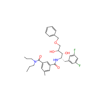 CCCN(CCC)C(=O)c1cc(C)cc(C(=O)N[C@@H](Cc2cc(F)cc(F)c2)[C@@H](O)C(O)COCc2ccccc2)c1